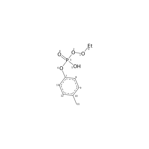 CCOOP(=O)(O)Oc1ccc(C)cc1